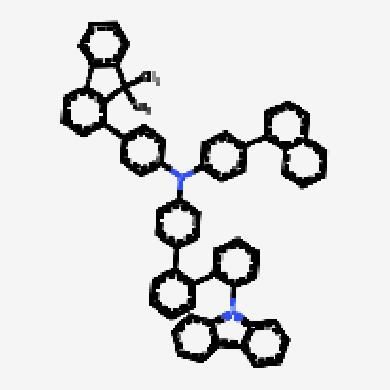 CC1(C)c2ccccc2-c2cccc(-c3ccc(N(c4ccc(-c5ccccc5-c5ccccc5-n5c6ccccc6c6ccccc65)cc4)c4ccc(-c5cccc6ccccc56)cc4)cc3)c21